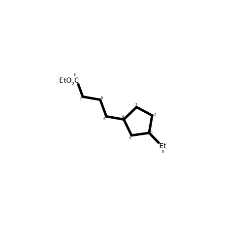 [CH2]CC1C[CH]C(CCCC(=O)OCC)C1